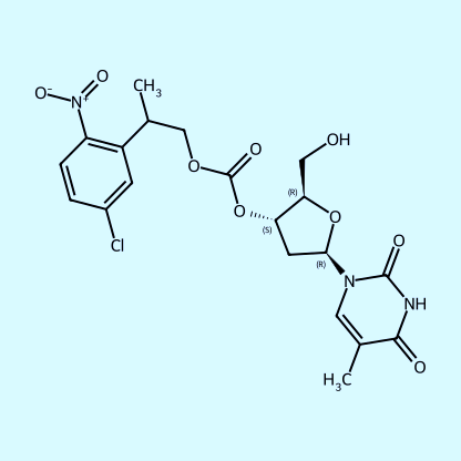 Cc1cn([C@H]2C[C@H](OC(=O)OCC(C)c3cc(Cl)ccc3[N+](=O)[O-])[C@@H](CO)O2)c(=O)[nH]c1=O